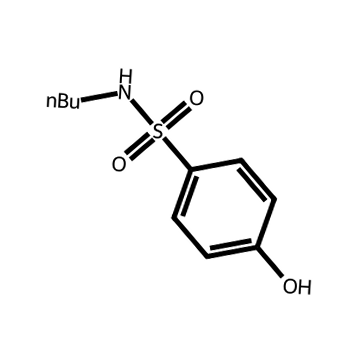 CCCCNS(=O)(=O)c1ccc(O)cc1